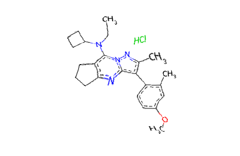 CCN(c1c2c(nc3c(-c4ccc(OC)cc4C)c(C)nn13)CCC2)C1CCC1.Cl